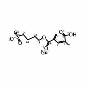 C=C(C=C(C)C(=O)O)C(=O)OCCCCS(=O)(=O)[O-].[Na+]